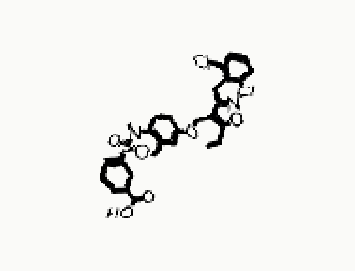 CCc1onc(Cc2c(Cl)cccc2Cl)c1COc1ccc(N(C)S(=O)(=O)c2cccc(C(=O)O)c2)c(C)c1